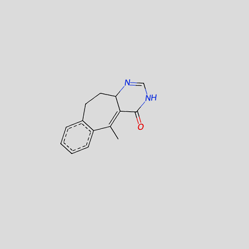 CC1=C2C(=O)NC=NC2CCc2ccccc21